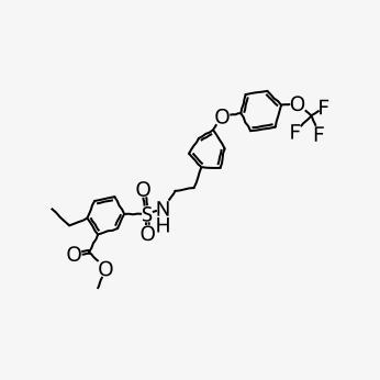 CCc1ccc(S(=O)(=O)NCCc2ccc(Oc3ccc(OC(F)(F)F)cc3)cc2)cc1C(=O)OC